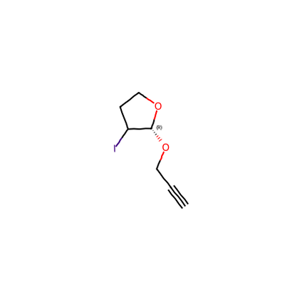 C#CCO[C@H]1OCCC1I